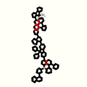 CC1(C)c2ccccc2-c2cccc(-c3ccc(N(c4cccc(-c5ccc(-c6ccc7c(c6)C(c6ccccc6)(c6ccccc6)c6cc(-c8ccc(N(c9cccc(-c%10cccc%11ccccc%10%11)c9)c9ccccc9-c9ccccc9-c9ccccc9)cc8)ccc6-7)c6ccccc56)c4)c4ccccc4-c4ccccc4-c4ccccc4)cc3)c21